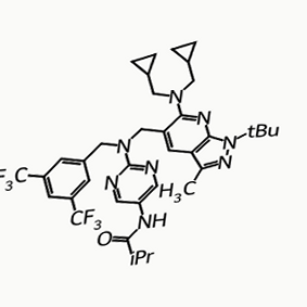 Cc1nn(C(C)(C)C)c2nc(N(CC3CC3)CC3CC3)c(CN(Cc3cc(C(F)(F)F)cc(C(F)(F)F)c3)c3ncc(NC(=O)C(C)C)cn3)cc12